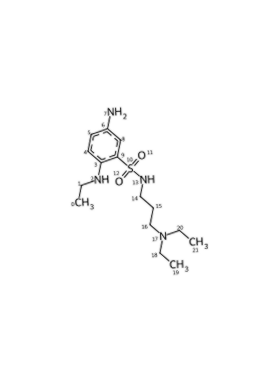 CCNc1ccc(N)cc1S(=O)(=O)NCCCN(CC)CC